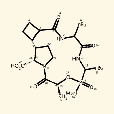 CCCCC(NC(=O)C1CCC1)C(=O)NC(CCCC)P(=O)(OC)O[C@@H](C)C(=O)N1CCC[C@H]1C(=O)O